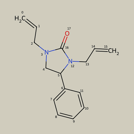 C=CCN1CC(c2ccccc2)N(CC=C)C1=O